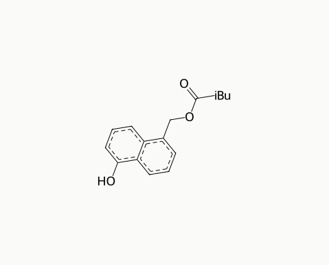 CCC(C)C(=O)OCc1cccc2c(O)cccc12